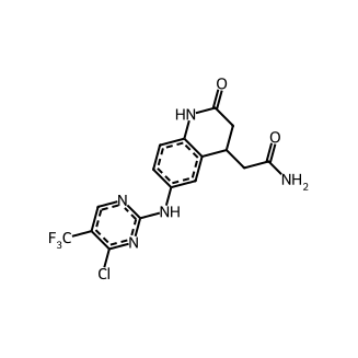 NC(=O)CC1CC(=O)Nc2ccc(Nc3ncc(C(F)(F)F)c(Cl)n3)cc21